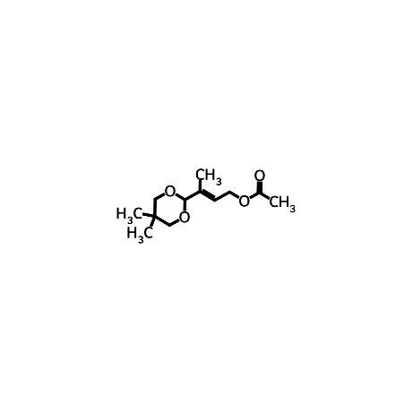 CC(=O)OC/C=C(\C)C1OCC(C)(C)CO1